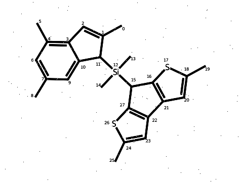 CC1=Cc2c(C)cc(C)cc2C1[Si](C)(C)C1c2sc(C)cc2-c2cc(C)sc21